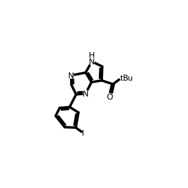 CC(C)(C)C(=O)c1c[nH]c2ncc(-c3cccc(I)c3)nc12